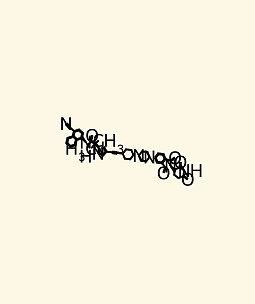 CC(C)(C(=O)Nc1ccc(C#N)c2ccccc12)n1cc(C#CC2CCC(N3CCN(c4ccc5c(c4)C(=O)N(C4CCC(=O)NC4=O)C5=O)CC3)CC2)cn1